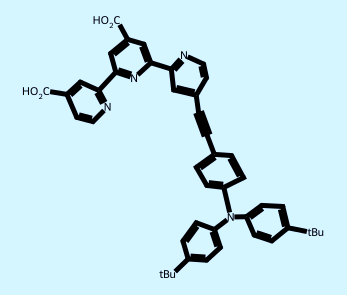 CC(C)(C)c1ccc(N(c2ccc(C#Cc3ccnc(-c4cc(C(=O)O)cc(-c5cc(C(=O)O)ccn5)n4)c3)cc2)c2ccc(C(C)(C)C)cc2)cc1